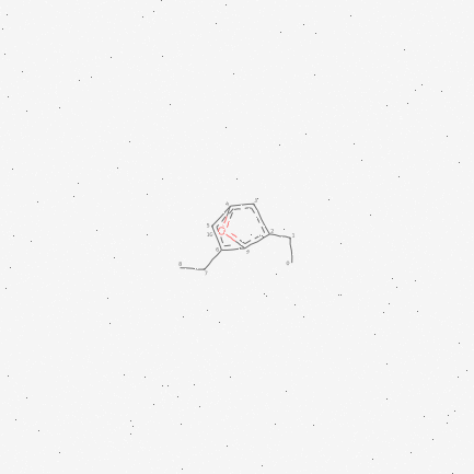 CCc1cc2cc(CC)c1o2